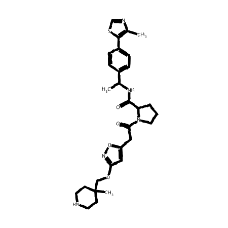 Cc1ncsc1-c1ccc(C(C)NC(=O)C2CCCN2C(=O)Cc2cc(OCC3(C)CCNCC3)no2)cc1